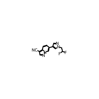 N#Cc1cnn2cc(-c3cnn(CC(F)F)c3)ccc12